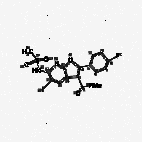 CNC(=O)c1c(-c2ccc(F)cc2)oc2nc(NS(C)(=O)=O)c(I)cc12